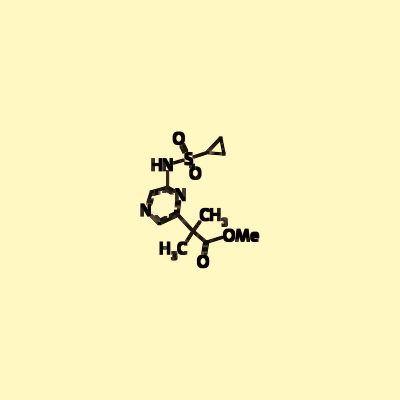 COC(=O)C(C)(C)c1cncc(NS(=O)(=O)C2CC2)n1